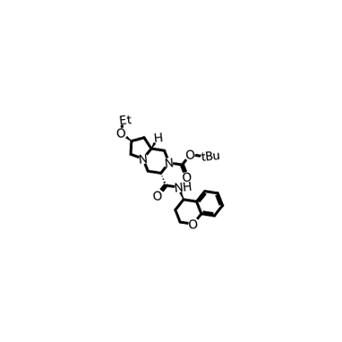 CCO[C@H]1C[C@@H]2CN(C(=O)OC(C)(C)C)[C@H](C(=O)N[C@@H]3CCOc4ccccc43)CN2C1